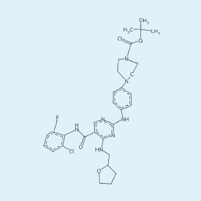 CC(C)(C)OC(=O)N1CCN(c2ccc(Nc3ncc(C(=O)Nc4c(F)cccc4Cl)c(NCC4CCCO4)n3)cc2)CC1